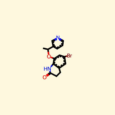 CC(Oc1cc(Br)cc2c1NC(=O)CC2)c1cccnc1